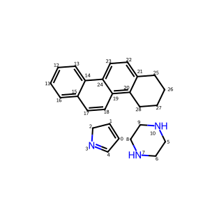 C1=CCN=C1.C1CNCCN1.c1ccc2c(c1)ccc1c3c(ccc12)CCCC3